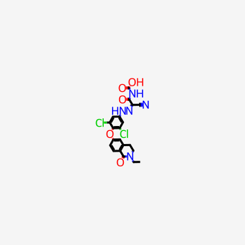 CCN1CCc2cc(Oc3c(Cl)cc(NN=C(C#N)C(=O)NC(=O)O)cc3Cl)ccc2C1=O